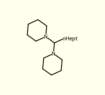 CCCCCCCC(N1CCCCC1)N1CCCCC1